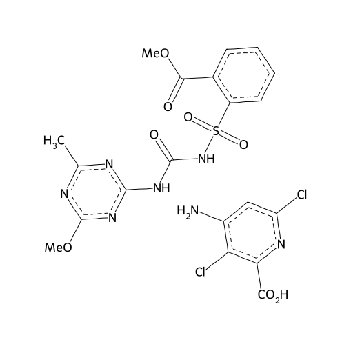 COC(=O)c1ccccc1S(=O)(=O)NC(=O)Nc1nc(C)nc(OC)n1.Nc1cc(Cl)nc(C(=O)O)c1Cl